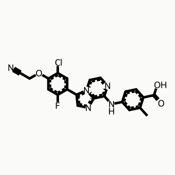 Cc1cc(Nc2nccn3c(-c4cc(Cl)c(OCC#N)cc4F)cnc23)ccc1C(=O)O